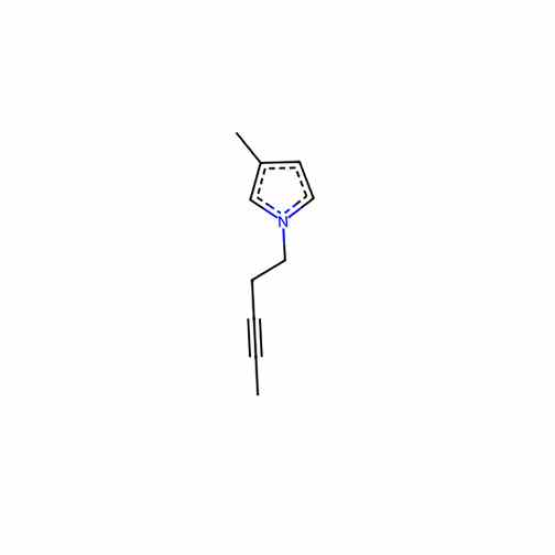 CC#CCCn1ccc(C)c1